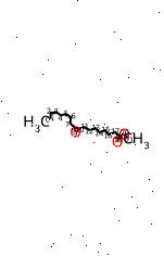 CC/C=C\C/C=C\CC1OC1CCCCCCCC(=O)OC